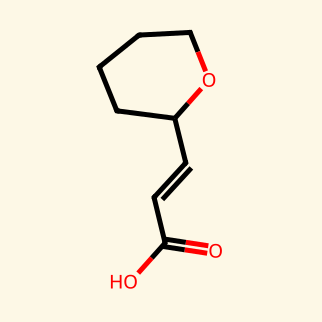 O=C(O)C=CC1CCCCO1